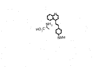 CNc1ccc(C=Cc2ccnc3ccccc23)cc1.C[C@@H](N)C(=O)O